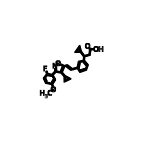 COc1ccc(F)c(-c2noc(C=Cc3cccc(C(CC(=O)O)C4CC4)c3)c2C2CC2)c1